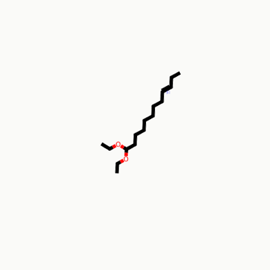 CC/C=C/CCCCCCCC(OCC)OCC